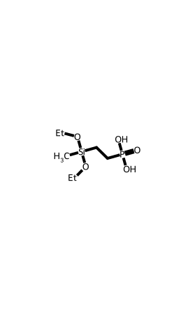 CCO[Si](C)(CCP(=O)(O)O)OCC